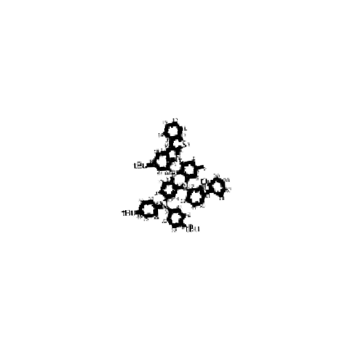 Cc1cc2c3c(c1)-n1c4sc5ccccc5c4c4cc(C(C)(C)C)cc(c41)B3c1ccc(N(c3ccc(C(C)(C)C)cc3)c3ccc(C(C)(C)C)cc3)cc1N2c1cccc2c1oc1ccccc12